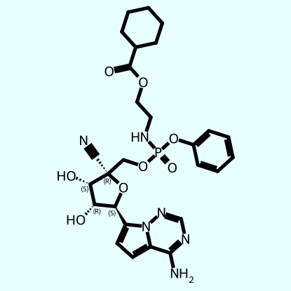 N#C[C@]1(COP(=O)(NCCOC(=O)C2CCCCC2)Oc2ccccc2)O[C@@H](c2ccc3c(N)ncnn23)[C@H](O)[C@@H]1O